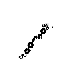 COCOc1ccc(-c2ccc(C#CCNCCc3ccc(S(N)(=O)=O)cc3)cc2)cc1